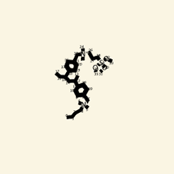 CCCC[N+](C)(C)Cc1ccc(C(C)CC(CC)c2ccc(C[N+](C)(C)CCC[Si](OC)(OC)OC)cc2)cc1